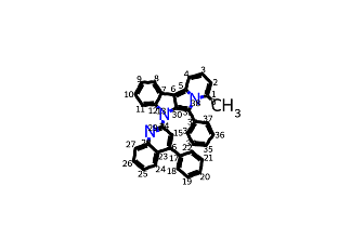 Cc1cccc2c3c4ccccc4n(-c4cc(-c5ccccc5)c5ccccc5n4)c3c(-c3ccccc3)n12